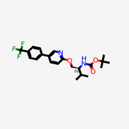 CC(C)[C@@H](COc1ccc(-c2ccc(C(F)(F)F)cc2)cn1)NC(=O)OC(C)(C)C